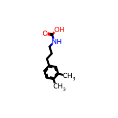 Cc1ccc(CCCNC(=O)O)cc1C